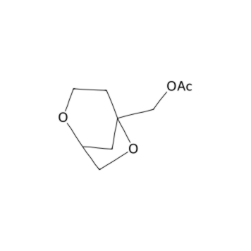 CC(=O)OCC12CCOC(CO1)C2